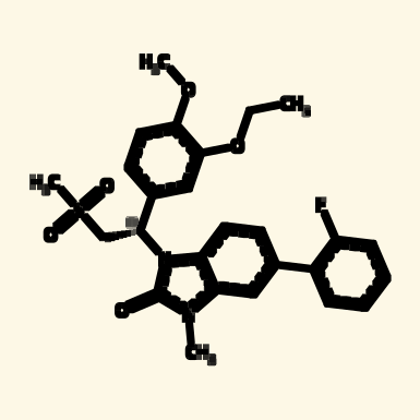 CCOc1cc([C@@H](CS(C)(=O)=O)n2c(=O)n(C)c3cc(-c4ccccc4F)ccc32)ccc1OC